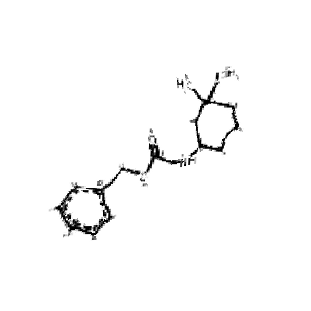 CC1(C)CCC[C@@H](NC(=O)OCc2ccccc2)C1